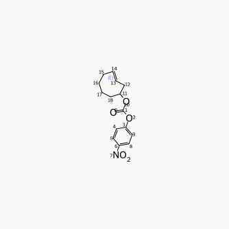 O=C(Oc1ccc([N+](=O)[O-])cc1)OC1C/C=C/CCCC1